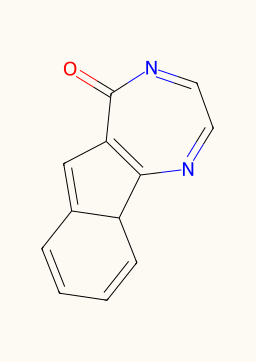 O=c1nccnc2c1C=C1C=CC=CC12